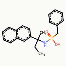 [CH2]C(CC)(NP(=O)(O)Cc1ccccc1)c1ccc2ccccc2c1